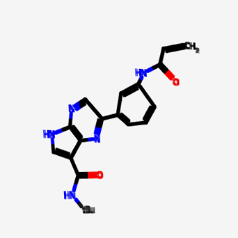 C=CC(=O)Nc1cccc(-c2cnc3[nH]cc(C(=O)NC(C)(C)C)c3n2)c1